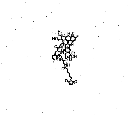 CC[C@@]1(O)C(=O)OCc2c1cc1n(c2=O)Cc2c-1nc1cc(F)c(C)c3c1c2[C@@H](N(C(=O)CNC(=O)[C@H](Cc1ccccc1)NC(=O)CNC(=O)CNC(=O)CCCCCN1C(=O)C=CC1=O)[C@@H](CO)C(N)=O)CC3